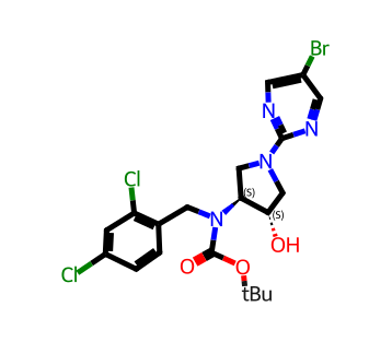 CC(C)(C)OC(=O)N(Cc1ccc(Cl)cc1Cl)[C@H]1CN(c2ncc(Br)cn2)C[C@@H]1O